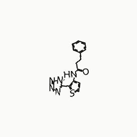 O=C(CCc1ccccc1)Nc1ccsc1C1=NN=N[N]1